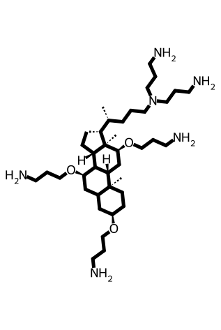 C[C@H](CCCN(CCCN)CCCN)[C@H]1CC[C@H]2C3[C@H](OCCCN)CC4C[C@H](OCCCN)CC[C@]4(C)[C@H]3C[C@H](OCCCN)[C@]12C